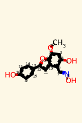 COc1cc(O)c(/C=N/O)c2cc(-c3ccc(O)cc3)oc12